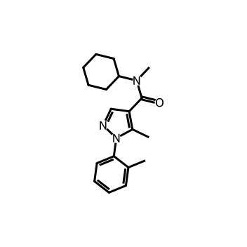 Cc1ccccc1-n1ncc(C(=O)N(C)C2CCCCC2)c1C